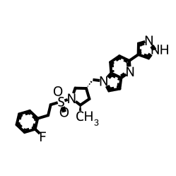 C[C@@H]1C[C@@H](Cn2ccc3nc(-c4cn[nH]c4)ccc32)CN1S(=O)(=O)CCc1ccccc1F